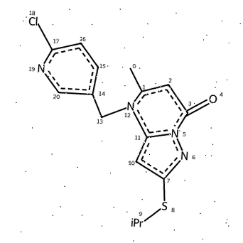 Cc1cc(=O)n2nc(SC(C)C)cc2n1Cc1ccc(Cl)nc1